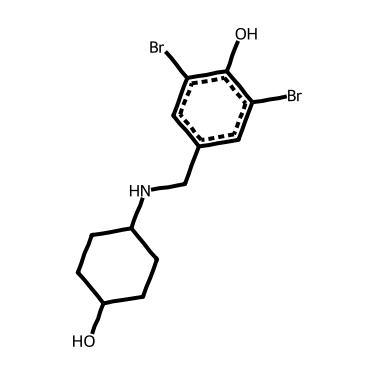 Oc1c(Br)cc(CNC2CCC(O)CC2)cc1Br